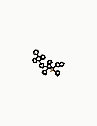 c1ccc(-c2sc3c(-c4ccccc4)c(-c4cccc(-c5c6ccccc6c(-c6ccccc6)c6ccccc56)c4)c4ccccc4c3c2-c2ccc3ccccc3c2)cc1